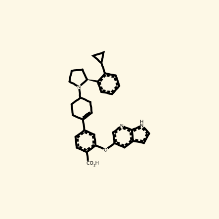 O=C(O)c1ccc(C2=CCC(N3CCC[C@H]3c3ccccc3C3CC3)CC2)cc1Oc1cnc2[nH]ccc2c1